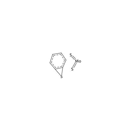 [S]=[Mo]=[S].c1ccc2c(c1)S2